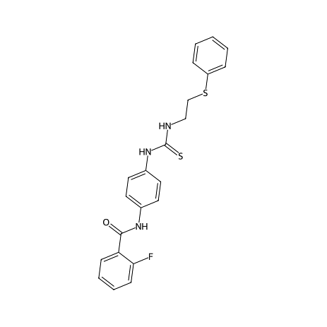 O=C(Nc1ccc(NC(=S)NCCSc2ccccc2)cc1)c1ccccc1F